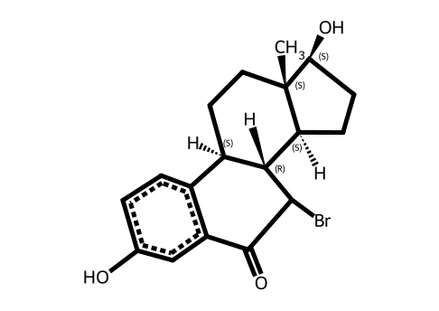 C[C@]12CC[C@@H]3c4ccc(O)cc4C(=O)C(Br)[C@H]3[C@@H]1CC[C@@H]2O